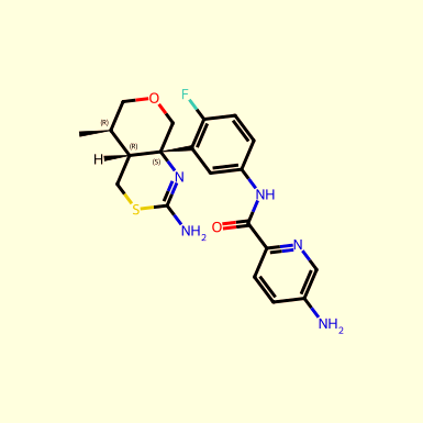 C[C@H]1COC[C@]2(c3cc(NC(=O)c4ccc(N)cn4)ccc3F)N=C(N)SC[C@H]12